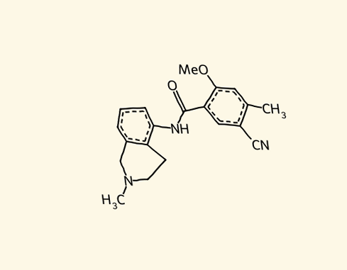 COc1cc(C)c(C#N)cc1C(=O)Nc1cccc2c1CCN(C)C2